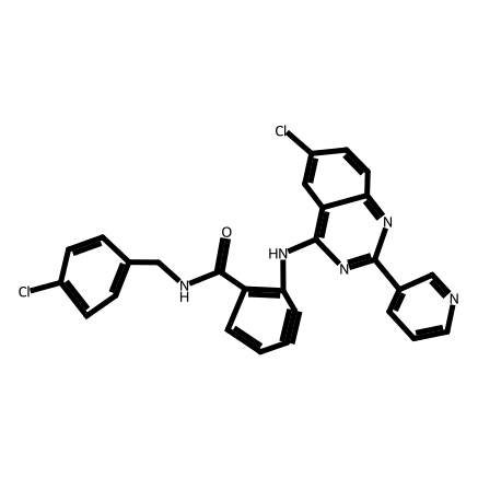 O=C(NCc1ccc(Cl)cc1)c1ccc#cc1Nc1nc(-c2cccnc2)nc2ccc(Cl)cc12